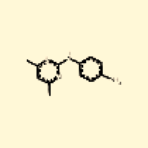 Cc1cc(C)nc(Nc2ccc(N)cc2)n1